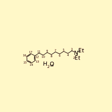 CCN(CC)CCCCCCCCCc1ccccc1.O